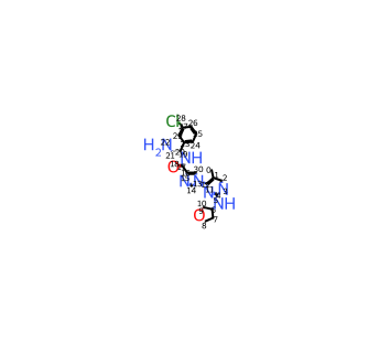 Cc1cnc(N[C@H]2CCOC2)nc1-n1cnc(C(=O)N[C@H](CN)c2cccc(Cl)c2)c1